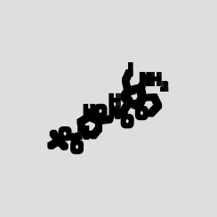 CC(C)(C)OC(=O)N1CCC(O)(CNC(=O)c2cc(CI)c(N)c3c2OCCC3)CC1